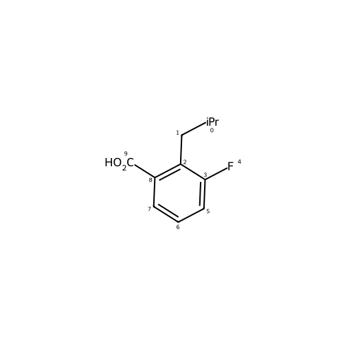 CC(C)Cc1c(F)cccc1C(=O)O